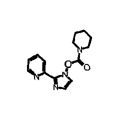 O=C(On1ccnc1-c1ccccn1)N1CCCCC1